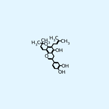 CC(C)=CCc1c(O)c2c(c3c1OC(C)(C)C=C3)OC=C(c1ccc(O)c(O)c1)C2